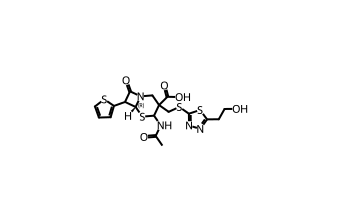 CC(=O)NC1S[C@@H]2C(c3cccs3)C(=O)N2CC1(CSc1nnc(CCO)s1)C(=O)O